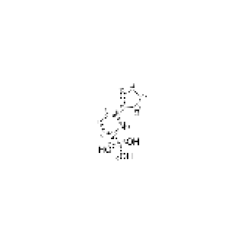 O[B-](O)(O)c1cccc(C2OCCO2)n1